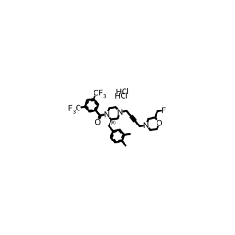 Cc1ccc(C[C@@H]2CN(CC#CCN3CCOC(CF)C3)CCN2C(=O)c2cc(C(F)(F)F)cc(C(F)(F)F)c2)cc1C.Cl.Cl